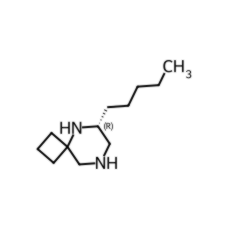 CCCCC[C@@H]1CNCC2(CCC2)N1